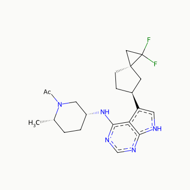 CC(=O)N1C[C@H](Nc2ncnc3[nH]cc([C@H]4CC[C@]5(C4)CC5(F)F)c23)CC[C@@H]1C